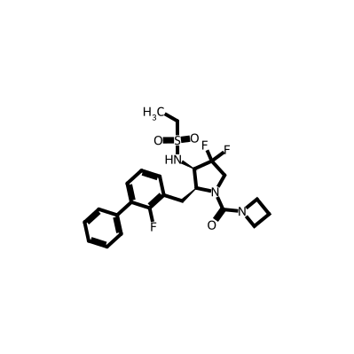 CCS(=O)(=O)N[C@@H]1[C@H](Cc2cccc(-c3ccccc3)c2F)N(C(=O)N2CCC2)CC1(F)F